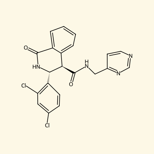 O=C1N[C@@H](c2ccc(Cl)cc2Cl)[C@H](C(=O)NCc2ccncn2)c2ccccc21